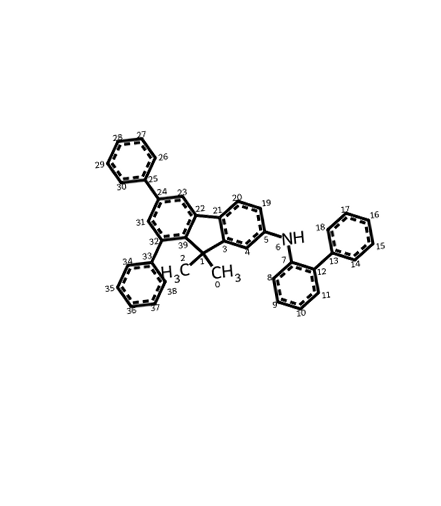 CC1(C)c2cc(Nc3ccccc3-c3ccccc3)ccc2-c2cc(-c3ccccc3)cc(-c3ccccc3)c21